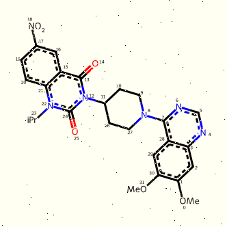 COc1cc2ncnc(N3CCC(n4c(=O)c5cc([N+](=O)[O-])ccc5n(C(C)C)c4=O)CC3)c2cc1OC